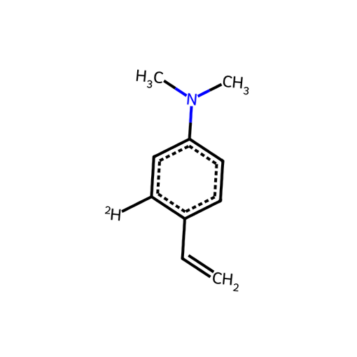 [2H]c1cc(N(C)C)ccc1C=C